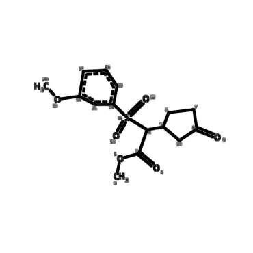 COC(=O)C(C1CCC(=O)C1)S(=O)(=O)c1cccc(OC)c1